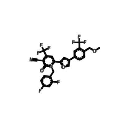 COCc1ccc(-c2coc(-c3cc(C(F)(F)F)c(C#N)c(=O)n3Cc3ccc(F)cc3F)c2)cc1C(F)(F)F